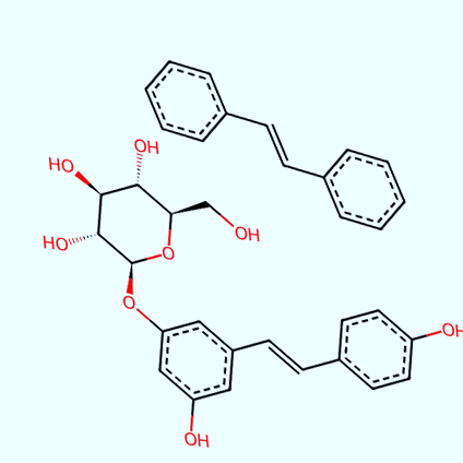 C(=Cc1ccccc1)c1ccccc1.OC[C@H]1O[C@@H](Oc2cc(O)cc(/C=C/c3ccc(O)cc3)c2)[C@H](O)[C@@H](O)[C@@H]1O